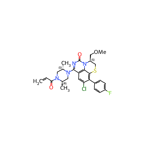 C=CC(=O)N1C[C@H](C)N(c2nc(=O)n3c4c(c(-c5ccc(F)cc5)c(Cl)cc24)SC[C@@H]3COC)C[C@H]1C